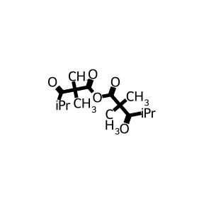 CC(C)C(=O)C(C)(C)C(=O)OC(=O)C(C)(C)C(=O)C(C)C